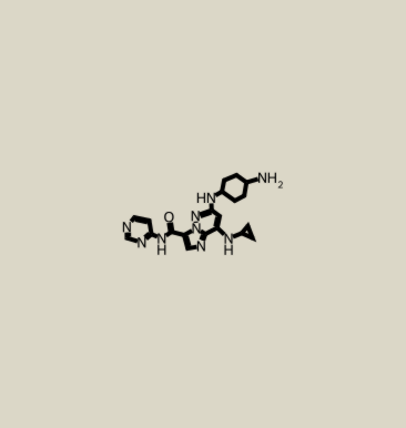 NC1CCC(Nc2cc(NC3CC3)c3ncc(C(=O)Nc4ccncn4)n3n2)CC1